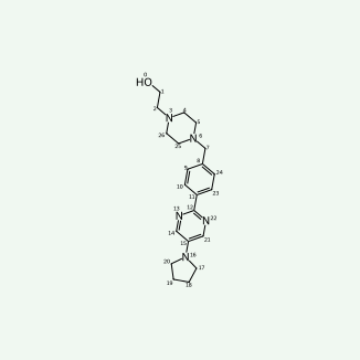 OCCN1CCN(Cc2ccc(-c3ncc(N4CCCC4)cn3)cc2)CC1